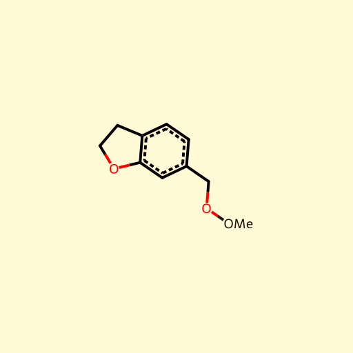 COOCc1ccc2c(c1)OCC2